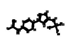 CC(=O)Nc1ccc(-c2noc(OC(F)(F)F)n2)cc1